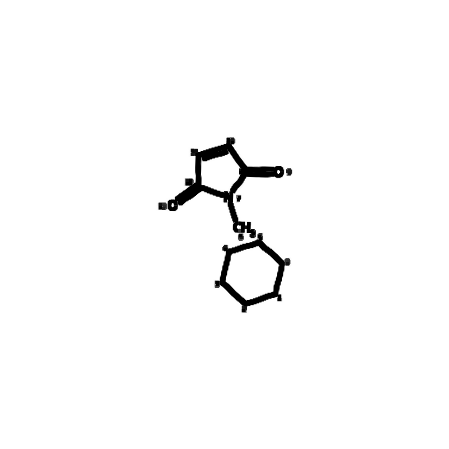 C1CCCCC1.CN1C(=O)C=CC1=O